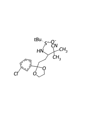 CC(C)(C#N)C(CCC1(c2cccc(Cl)c2)OCCO1)N[S@@+]([O-])C(C)(C)C